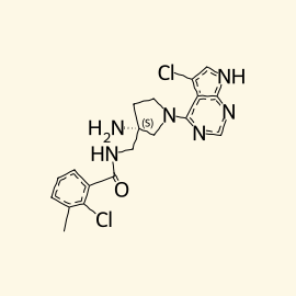 Cc1cccc(C(=O)NC[C@@]2(N)CCN(c3ncnc4[nH]cc(Cl)c34)C2)c1Cl